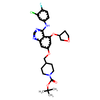 CC(C)(C)OC(=O)N1CCC(COc2cc(OC3CCOC3)c3c(Nc4ccc(F)c(Cl)c4)ncnc3c2)CC1